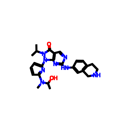 CC(O)N(C)c1cccc(-n2c3nc(Nc4ccc5c(c4)CNCC5)ncc3c(=O)n2C(C)C)n1